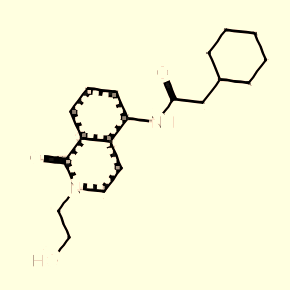 O=C(CC1CCCCC1)Nc1cccc2c(=O)n(CCO)ccc12